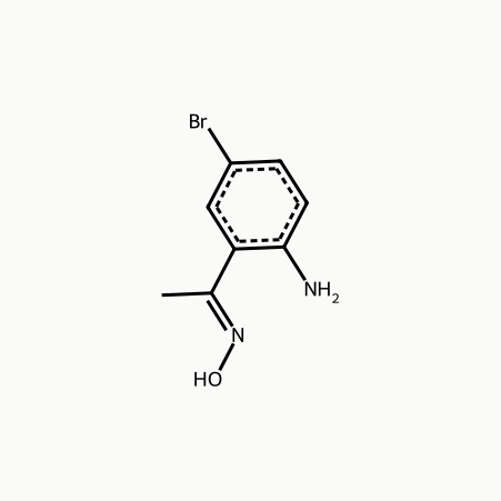 CC(=NO)c1cc(Br)ccc1N